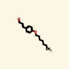 CCCCCCCOc1ccc(C=CC=O)cc1